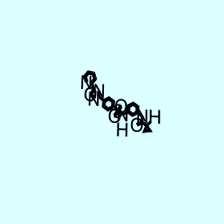 CC1(C(=O)Nc2cccc(NS(=O)(=O)c3ccc(-c4noc(-c5ccccn5)n4)cc3)c2)CC1